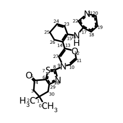 CC1(C)CC(=O)c2sc(N3C=COC(C4=C(Nc5cccnc5)C=CCC4)=C3)nc2C1